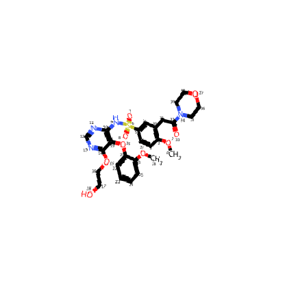 COc1ccc(S(=O)(=O)Nc2ncnc(OCCO)c2Oc2ccccc2OC)cc1CC(=O)N1CCOCC1